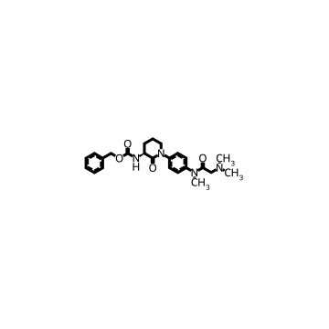 CN(C)CC(=O)N(C)c1ccc(N2CCC[C@H](NC(=O)OCc3ccccc3)C2=O)cc1